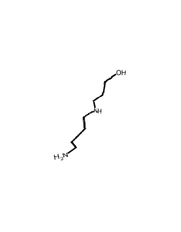 NCCCCNCCCO